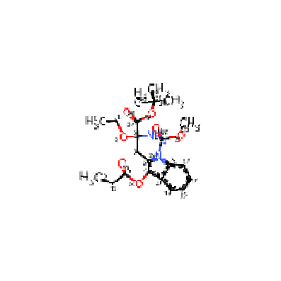 CCOC(N)(Cc1c(OC(=O)CC)c2ccccc2n1C(=O)OC)C(=O)OC(C)(C)C